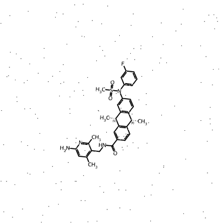 Cc1cc(N)nc(C)c1CNC(=O)c1ccc2c(c1)[C@H](C)c1cc(N(c3cccc(F)c3)S(C)(=O)=O)ccc1[C@@H]2C